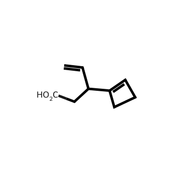 C=CC(CC(=O)O)C1=CCC1